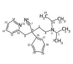 CC(C)N(CCC(C#N)(Cc1ccccn1)c1ccccc1)C(C)C